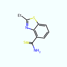 CCc1nc2c(C(N)=S)cccc2s1